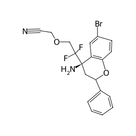 N#CCOCC(F)(F)[C@@]1(N)CC(c2ccccc2)Oc2ccc(Br)cc21